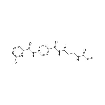 C=CC(=O)NCCC(=C)NC(=O)c1ccc(NC(=O)c2cccc(Br)n2)cc1